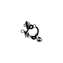 CCS(=O)(=O)n1cc2c3ccc(cc31)OCCCCCOc1cc(ccc1N1CCOCC1)Nc1ncc(Cl)c-2n1